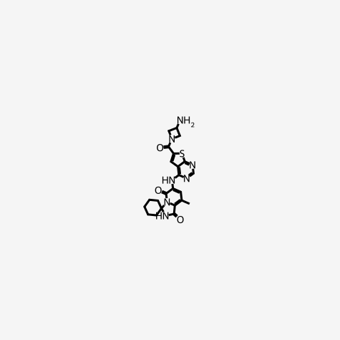 Cc1cc(Nc2ncnc3sc(C(=O)N4CC(N)C4)cc23)c(=O)n2c1C(=O)NC21CCCCC1